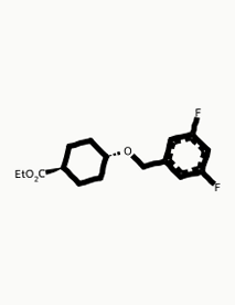 CCOC(=O)[C@H]1CC[C@H](OCc2cc(F)cc(F)c2)CC1